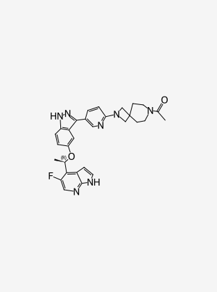 CC(=O)N1CCC2(CC1)CN(c1ccc(-c3n[nH]c4ccc(O[C@H](C)c5c(F)cnc6[nH]ccc56)cc34)cn1)C2